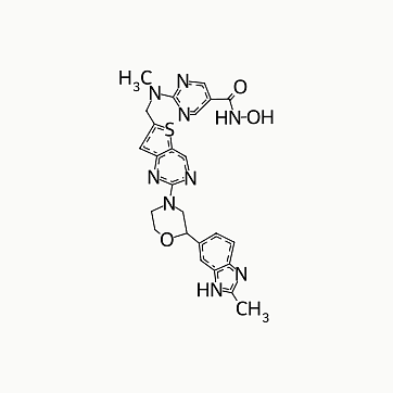 Cc1nc2ccc(C3CN(c4ncc5sc(CN(C)c6ncc(C(=O)NO)cn6)cc5n4)CCO3)cc2[nH]1